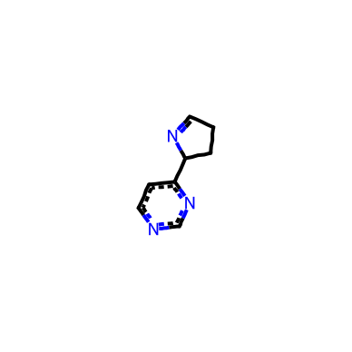 C1=NC(c2ccncn2)CC1